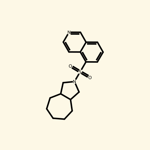 O=S(=O)(c1cccc2cnccc12)N1CC2CCCCCC2C1